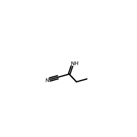 CCC(=N)C#N